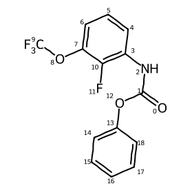 O=C(Nc1cccc(OC(F)(F)F)c1F)Oc1ccccc1